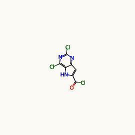 O=C(Cl)c1cc2nc(Cl)nc(Cl)c2[nH]1